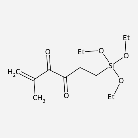 C=C(C)C(=O)C(=O)CC[Si](OCC)(OCC)OCC